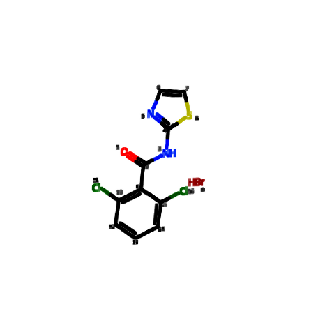 Br.O=C(Nc1nccs1)c1c(Cl)cccc1Cl